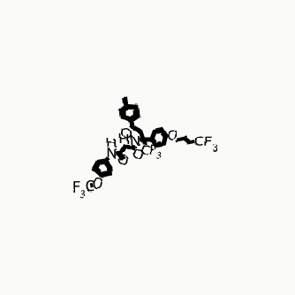 Cc1ccc(C(=O)CC(NC(=O)CC(=O)Nc2ccc(OC(F)(F)F)cc2)(c2ccc(OCCCC(F)(F)F)cc2)C(F)(F)F)cc1